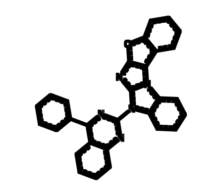 c1ccc(-c2nc(-n3c4ccccc4n4c5c(nc34)oc3ccccc35)nc3ccccc23)cc1